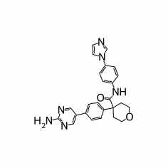 Nc1ncc(-c2ccc(C3(C(=O)Nc4ccc(-n5ccnc5)cc4)CCOCC3)cc2)cn1